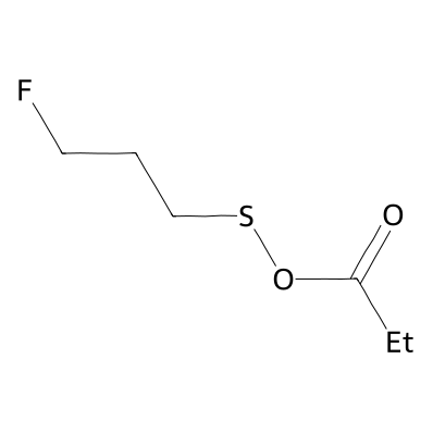 CCC(=O)OSCCCF